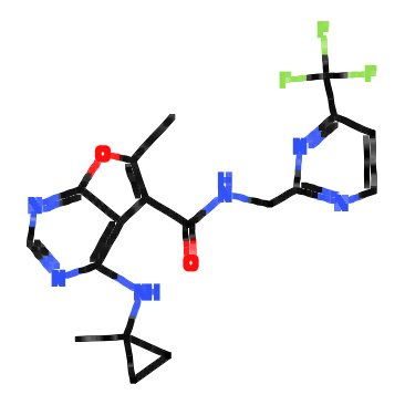 Cc1oc2ncnc(NC3(C)CC3)c2c1C(=O)NCc1nccc(C(F)(F)F)n1